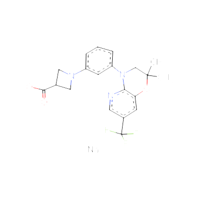 CC1(C)CN(c2cccc(N3CC(C(=O)[O-])C3)c2)c2ncc(C(F)(F)F)cc2O1.[Na+]